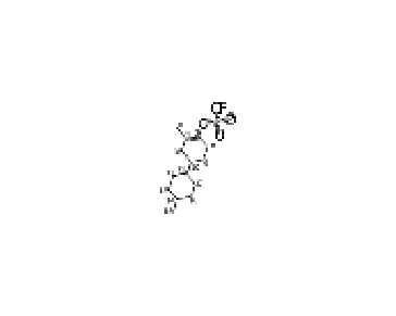 CC1=C(OS(=O)(=O)C(F)(F)F)CCC(C2CCC(C)CC2)C1